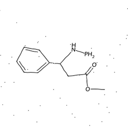 COC(=O)CC(NP)c1ccccc1